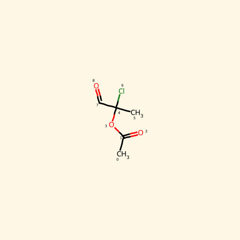 CC(=O)OC(C)(Cl)C=O